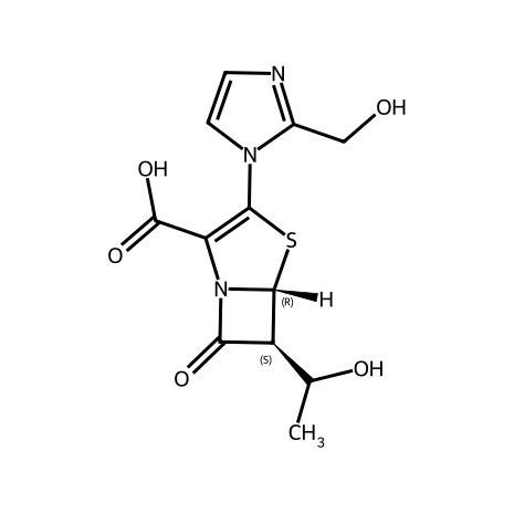 CC(O)[C@H]1C(=O)N2C(C(=O)O)=C(n3ccnc3CO)S[C@H]12